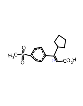 CS(=O)(=O)c1ccc(/C(=C/C(=O)O)C2CCCC2)cc1